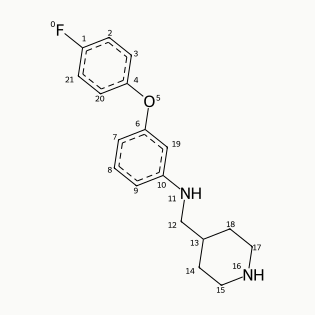 Fc1ccc(Oc2cccc(NCC3CCNCC3)c2)cc1